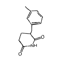 Cc1cccc(C2CCC(=O)NC2=O)c1